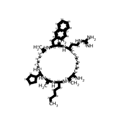 C=C1CCSNC(C2CCCC2)NC(=C)NC(CCCCC)NC(=C)C(N)CCSSCC(CCNC(=N)N)NC(=C)C(Cc2ccc3ccccc3c2)N1